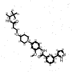 COc1cc(N2CCC(OCCC(=O)NC(C)C(C)(C)C)CC2)ccc1NC(=O)c1cccc(-c2ccn[nH]2)n1